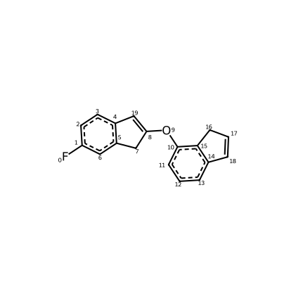 Fc1ccc2c(c1)CC(Oc1cccc3c1CC=C3)=C2